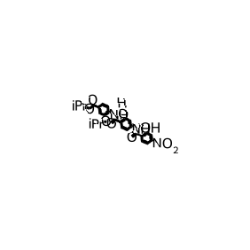 CC(C)OC(=O)c1ccc(NC(=O)c2ccc(NC(=O)c3ccc([N+](=O)[O-])cc3O)cc2O)c(OC(C)C)c1